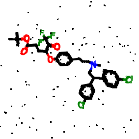 CN(CCCc1ccc(OC(CCC(=O)OC(C)(C)C)C(=O)C(F)(F)F)cc1)CC(c1ccc(Cl)cc1)c1ccc(Cl)cc1